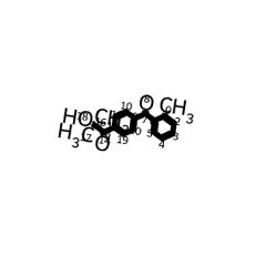 Cc1ccccc1C(=O)c1ccc(C(=O)C(C)(C)O)cc1